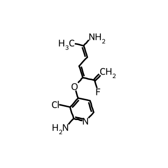 C=C(F)/C(=C\C=C(/C)N)Oc1ccnc(N)c1Cl